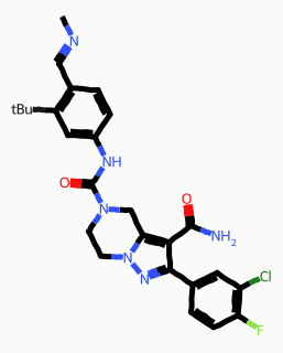 C/N=C/c1ccc(NC(=O)N2CCn3nc(-c4ccc(F)c(Cl)c4)c(C(N)=O)c3C2)cc1C(C)(C)C